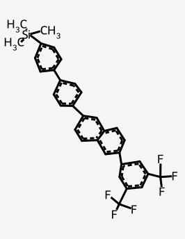 C[Si](C)(C)c1ccc(-c2ccc(-c3ccc4cc(-c5cc(C(F)(F)F)cc(C(F)(F)F)c5)ccc4c3)cc2)cc1